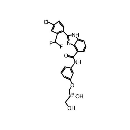 O=C(Nc1cccc(OC[C@H](O)CO)c1)c1cccc2[nH]c(-c3ccc(Cl)cc3C(F)F)nc12